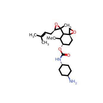 COC1C(C2(C)O[C@@H]2CC=C(C)C)[C@]2(CC[C@@H]1OC(=O)N[C@H]1CC[C@H](N)CC1)CO2